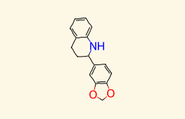 c1ccc2c(c1)CCC(c1ccc3c(c1)OCO3)N2